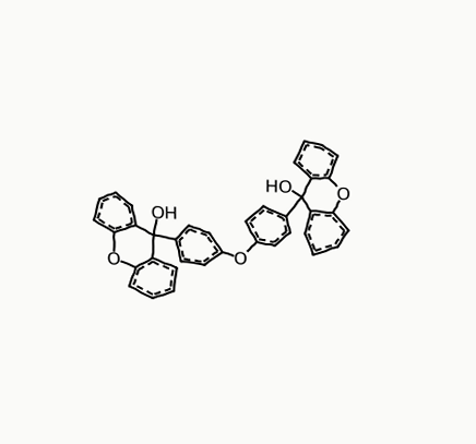 OC1(c2ccc(Oc3ccc(C4(O)c5ccccc5Oc5ccccc54)cc3)cc2)c2ccccc2Oc2ccccc21